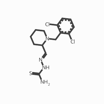 NC(=S)NN=CC1CCCCN1Cc1c(Cl)cccc1Cl